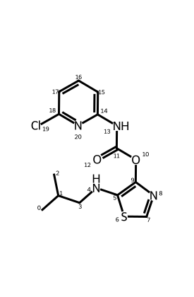 CC(C)CNc1scnc1OC(=O)Nc1cccc(Cl)n1